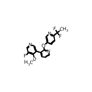 COc1c(F)cncc1-c1cccnc1Oc1ccc(C(C)(F)F)nc1